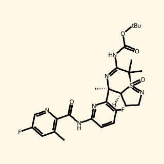 Cc1cc(F)cnc1C(=O)Nc1ccc(F)c([C@@]2(C)N=C(NC(=O)OC(C)(C)C)C(C)(C)[S@@]3(=O)=NCC[C@@H]23)n1